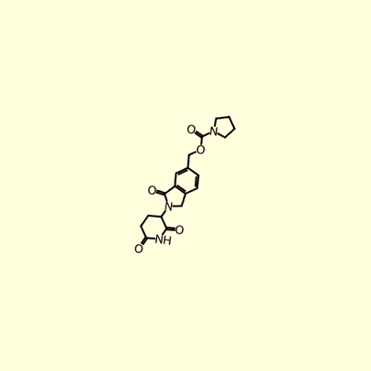 O=C1CCC(N2Cc3ccc(COC(=O)N4CCCC4)cc3C2=O)C(=O)N1